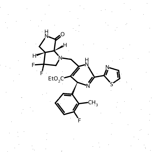 CCOC(=O)C1=C(CN2CC(F)(F)[C@@H]3CNC(=O)[C@@H]32)NC(c2nccs2)=N[C@H]1c1cccc(F)c1C